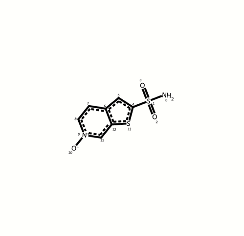 NS(=O)(=O)c1cc2cc[n+]([O-])cc2s1